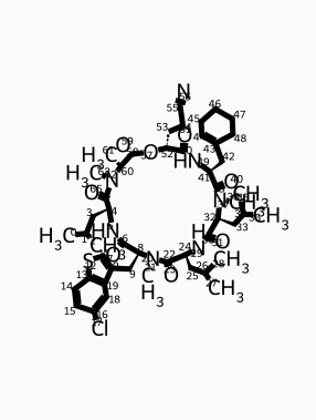 CC(C)C[C@@H]1NC(=O)[C@H](Cc2csc3ccc(Cl)cc23)N(C)C(=O)[C@H](CC(C)C)NC(=O)[C@H](CC(C)C)N(C)C(=O)[C@H](CC2=CCCCC2)NC(=O)[C@@H](CCC#N)OC(=O)[C@H](C)N(C)C1=O